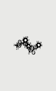 COC(=O)[C@H](Cc1ccccc1)Nc1cc(-c2ccccc2NC(=O)OC(C)(C)C)ncn1